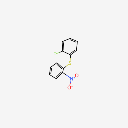 O=[N+]([O-])c1ccccc1Sc1ccccc1F